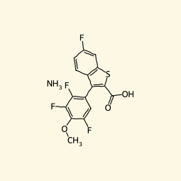 COc1c(F)cc(-c2c(C(=O)O)sc3cc(F)ccc23)c(F)c1F.N